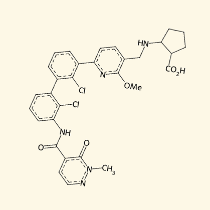 COc1nc(-c2cccc(-c3cccc(NC(=O)c4ccnn(C)c4=O)c3Cl)c2Cl)ccc1CNC1CCCC1C(=O)O